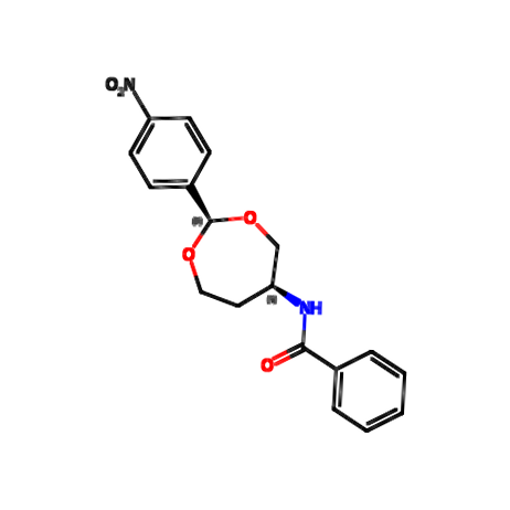 O=C(N[C@H]1CCO[C@@H](c2ccc([N+](=O)[O-])cc2)OC1)c1ccccc1